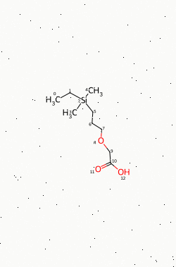 CC[Si](C)(C)CCCOCC(=O)O